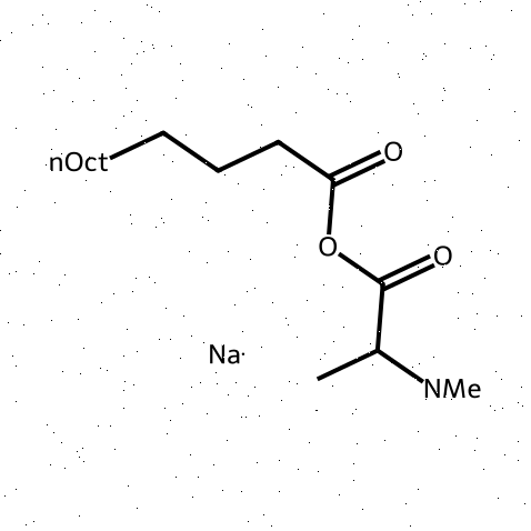 CCCCCCCCCCCC(=O)OC(=O)C(C)NC.[Na]